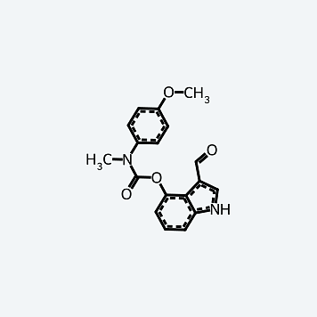 COc1ccc(N(C)C(=O)Oc2cccc3[nH]cc(C=O)c23)cc1